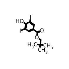 CC(C)(C)COC(=O)c1cc(I)c(O)c(I)c1